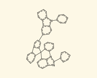 c1ccc(-c2nc3cccc4c3n2-c2ccccc2C42c3ccccc3-c3ccc(-c4ccc5c(c4)c4ccccc4n5-c4ccccc4)cc32)cc1